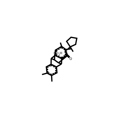 Cc1cc2c(cc1C)C1c3cc(C)c(C)cc3C2C(C(=O)O)C1C(=O)OC1(C)CCCC1